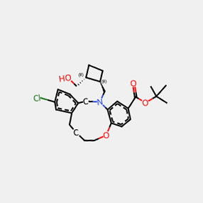 CC(C)(C)OC(=O)c1ccc2c(c1)N(C[C@@H]1CC[C@H]1CO)Cc1ccc(Cl)cc1CCCCO2